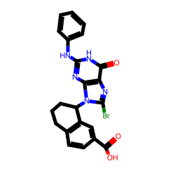 O=C(O)c1ccc2c(c1)C(n1c(Br)nc3c(=O)[nH]c(Nc4ccccc4)nc31)CCC2